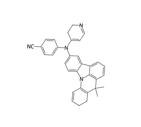 CC1(C)C2=C(C=CCC2)n2c3ccc(N(C4=CC=NCC4)c4ccc(C#N)cc4)cc3c3cccc1c32